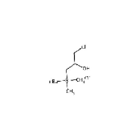 CCCC[N+](C)(C)CC(O)CCl.[Cl-]